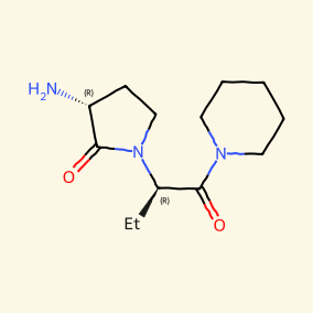 CC[C@H](C(=O)N1CCCCC1)N1CC[C@@H](N)C1=O